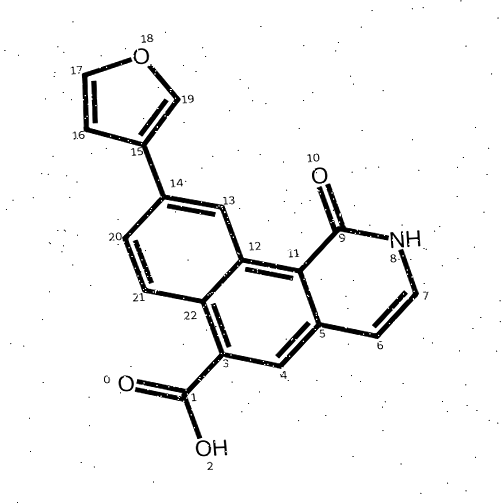 O=C(O)c1cc2cc[nH]c(=O)c2c2cc(-c3ccoc3)ccc12